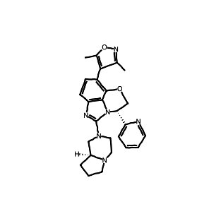 Cc1noc(C)c1-c1ccc2nc(N3CCN4CCC[C@H]4C3)n3c2c1OC[C@@H]3c1ccccn1